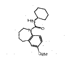 COc1ccc2c(c1)CCCCN2C(=O)NC1CCCCC1